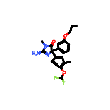 CCCOc1cccc(C2(c3ccc(OC(F)F)c(C)c3)N=C(N)N(C)C2=O)c1